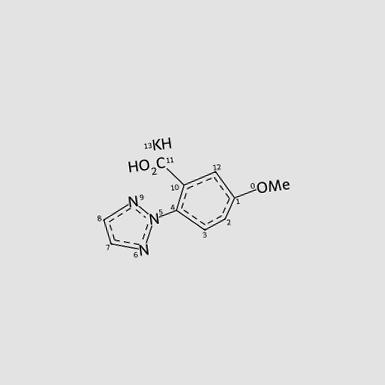 COc1ccc(-n2nccn2)c(C(=O)O)c1.[KH]